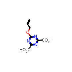 C=CCOc1nc(C(=O)O)nc(C(=O)O)n1